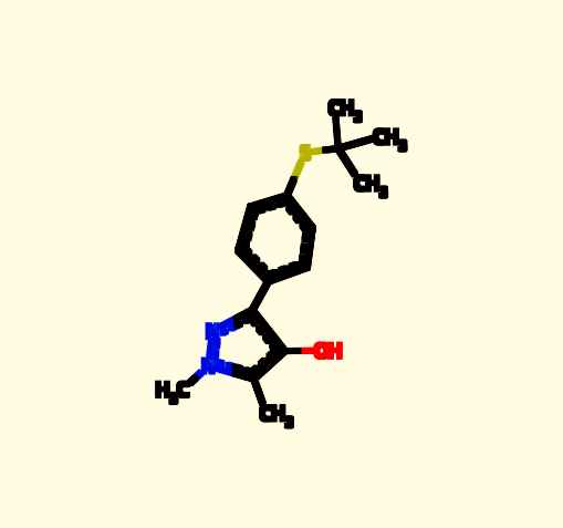 Cc1c(O)c(-c2ccc(SC(C)(C)C)cc2)nn1C